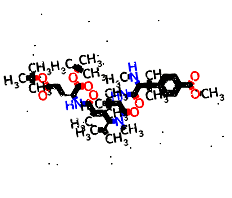 CNC(C(=O)N[C@H](C(=O)N(C)[C@H](/C=C(\C)C(=O)N[C@H](CCC(=O)OC(C)(C)C)C(=O)OC(C)(C)C)C(C)C)C(C)(C)C)C(C)(C)c1ccc(C(=O)OC)cc1